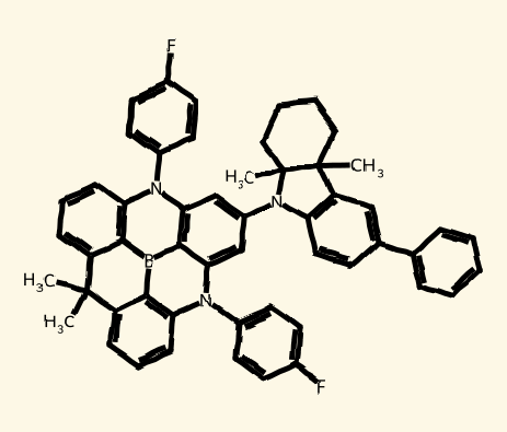 CC1(C)c2cccc3c2B2c4c(cc(N5c6ccc(-c7ccccc7)cc6C6(C)CCCCC56C)cc4N(c4ccc(F)cc4)c4cccc1c42)N3c1ccc(F)cc1